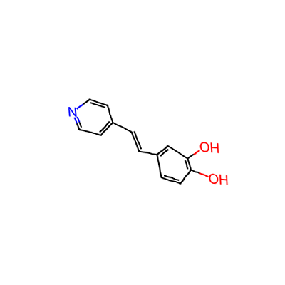 Oc1ccc(C=Cc2ccncc2)cc1O